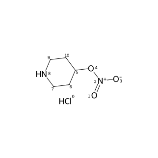 Cl.O=[N+]([O-])OC1CCNCC1